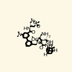 COc1c(CN2O[C@@H](CN)[C@@H]([C@H](C)O)[C@H]2C(=O)NC2C[C@H]3C[C@@H]([C@@H]2C)C3(C)C)cccc1-c1cc(C(=O)N[C@H](CN(C)C)CS(C)(=O)=O)cc(N(C)C)c1